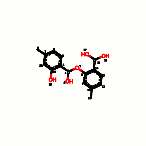 Cc1ccc(B(O)Oc2cc(C)ccc2B(O)O)c(O)c1